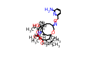 CC[C@H]1OC(=O)[C@H](C)C(=O)[C@H](C)[C@@H](C(C)(C)C)[C@@]2(C)C[C@@H](C)/C(=N\C(C)=O)[C@H](C)[C@@H](CC/C(=N\OCc3cccc(N)n3)CO2)[C@]1(C)O